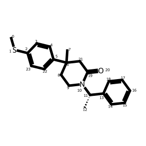 CSc1ccc(C2(C)CCN([C@@H](C)c3ccccc3)C(=O)C2)cc1